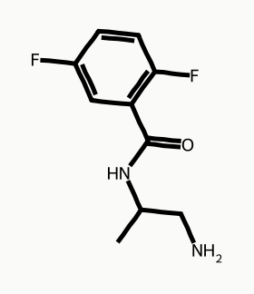 CC(CN)NC(=O)c1cc(F)ccc1F